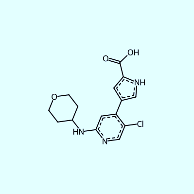 O=C(O)c1cc(-c2cc(NC3CCOCC3)ncc2Cl)c[nH]1